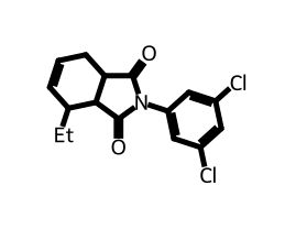 CCC1C=CCC2C(=O)N(c3cc(Cl)cc(Cl)c3)C(=O)C12